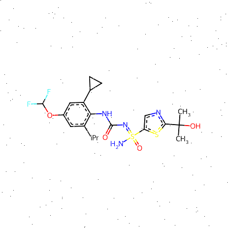 CC(C)c1cc(OC(F)F)cc(C2CC2)c1NC(=O)N=S(N)(=O)c1cnc(C(C)(C)O)s1